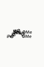 COc1cc(C=NNC(=O)c2ccnc(-c3ccc(OC(C)C)cc3)n2)cc(OC)c1